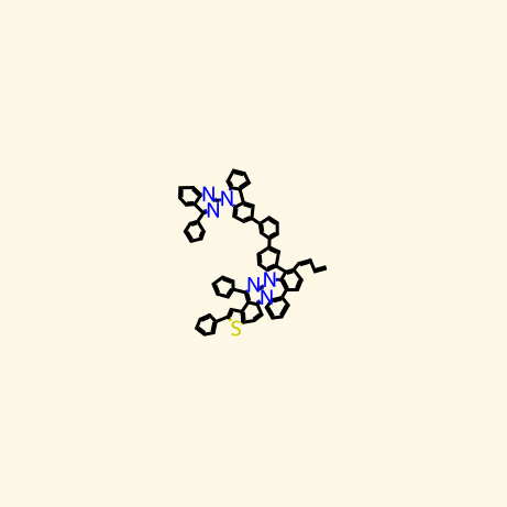 C=C/C=C\c1ccc(-c2ccccc2)c2c1c1cc(-c3cccc(-c4ccc5c(c4)c4ccccc4n5-c4nc(-c5ccccc5)c5ccccc5n4)c3)ccc1n2-c1nc(-c2ccccc2)c2c(ccc3sc(-c4ccccc4)cc32)n1